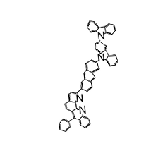 c1ccc(-c2c3ccccc3nc3c2ccc2ccc(-c4ccc5cc6cc(-n7c8ccccc8c8cc(-n9c%10ccccc%10c%10ccccc%109)ccc87)ccc6cc5c4)nc23)cc1